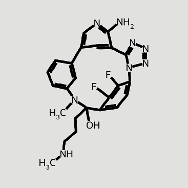 CNCCCC1(O)c2ccc(c(F)c2F)-n2nnnc2-c2cc(cnc2N)-c2cccc(c2)N1C